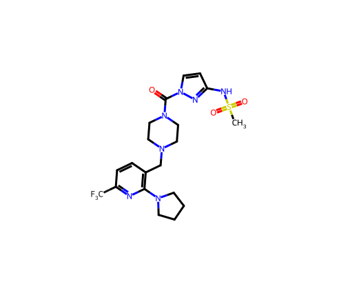 CS(=O)(=O)Nc1ccn(C(=O)N2CCN(Cc3ccc(C(F)(F)F)nc3N3CCCC3)CC2)n1